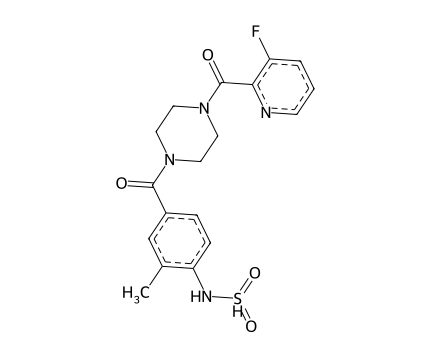 Cc1cc(C(=O)N2CCN(C(=O)c3ncccc3F)CC2)ccc1N[SH](=O)=O